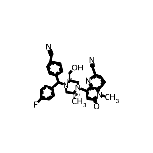 C[C@@H]1CN(C(c2ccc(F)cc2)c2ccc(C#N)cc2)[C@@H](CO)CN1c1cc(=O)n(C)c2ccc(C#N)nc12